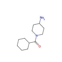 NC1CCN(C(=O)C2CCCCC2)CC1